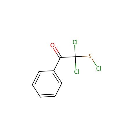 O=C(c1ccccc1)C(Cl)(Cl)SCl